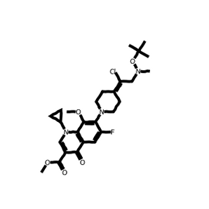 COC(=O)c1cn(C2CC2)c2c(OC)c(N3CCC(=C(Cl)CN(C)OC(C)(C)C)CC3)c(F)cc2c1=O